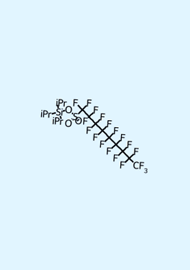 CC(C)[Si](OS(=O)(=O)C(F)(F)C(F)(F)C(F)(F)C(F)(F)C(F)(F)C(F)(F)C(F)(F)C(F)(F)C(F)(F)F)(C(C)C)C(C)C